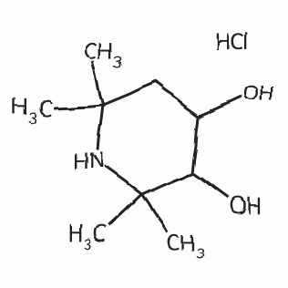 CC1(C)CC(O)C(O)C(C)(C)N1.Cl